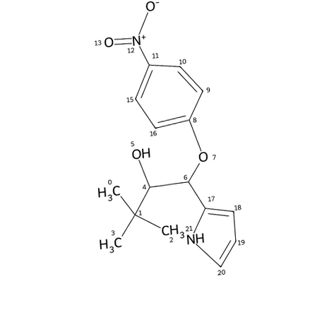 CC(C)(C)C(O)C(Oc1ccc([N+](=O)[O-])cc1)c1ccc[nH]1